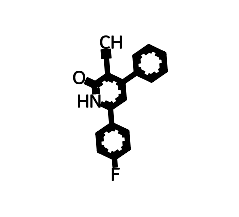 C#Cc1c(-c2ccccc2)cc(-c2ccc(F)cc2)[nH]c1=O